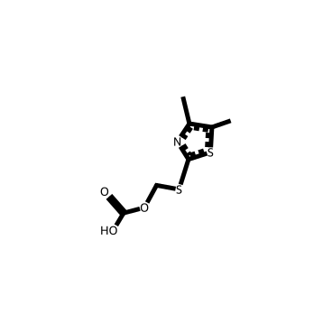 Cc1nc(SCOC(=O)O)sc1C